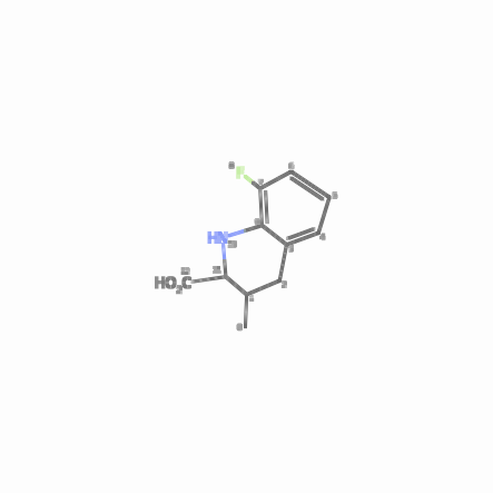 CC1Cc2cccc(F)c2NC1C(=O)O